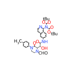 Cc1ccc(N2CCN(C=O)C(C(O)C(=O)Nc3ccc4c(N(C(=O)OC(C)(C)C)C(=O)OC(C)(C)C)nccc4c3)C2=O)cc1